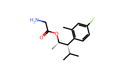 Cc1cc(F)ccc1[C@H](C(C)C)[C@H](C)OC(=O)CN